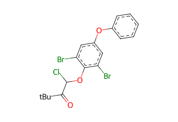 CC(C)(C)C(=O)C(Cl)Oc1c(Br)cc(Oc2ccccc2)cc1Br